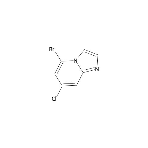 Clc1cc(Br)n2ccnc2c1